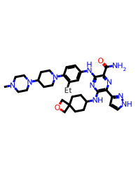 CCc1cc(Nc2nc(NC3CCC4(CC3)COC4)c(-c3cc[nH]n3)nc2C(N)=O)ccc1N1CCC(N2CCN(C)CC2)CC1